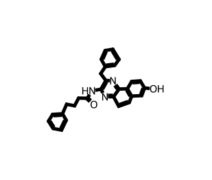 O=C(CCCc1ccccc1)Nc1nc2ccc3cc(O)ccc3c2nc1Cc1ccccc1